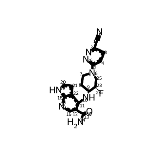 N#Cc1ccc(N2CC[C@@H](Nc3c(C(N)=O)cnc4[nH]ccc34)[C@@H](F)C2)nn1